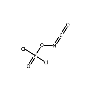 O=C=NOP(=O)(Cl)Cl